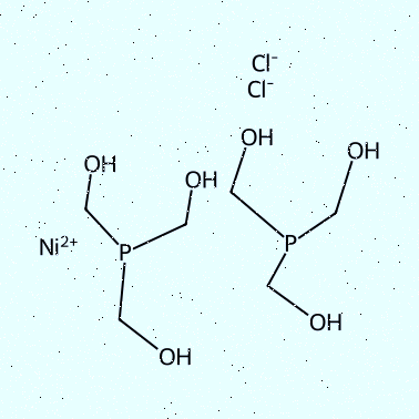 OCP(CO)CO.OCP(CO)CO.[Cl-].[Cl-].[Ni+2]